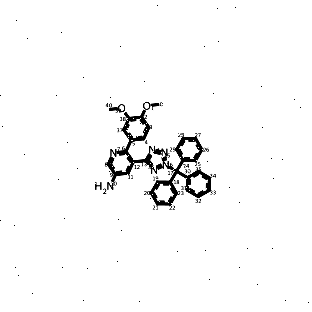 COc1ccc(-c2ncc(N)cc2-c2nnn(C(c3ccccc3)(c3ccccc3)c3ccccc3)n2)cc1OC